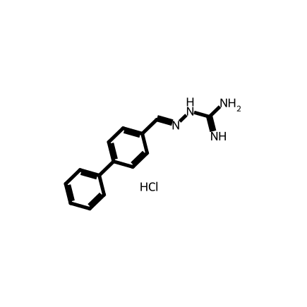 Cl.N=C(N)NN=Cc1ccc(-c2ccccc2)cc1